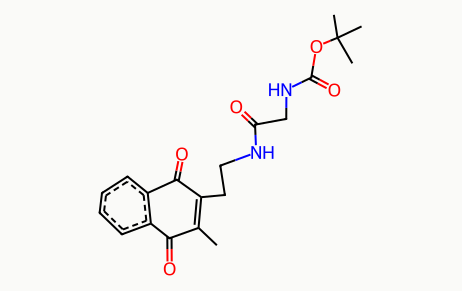 CC1=C(CCNC(=O)CNC(=O)OC(C)(C)C)C(=O)c2ccccc2C1=O